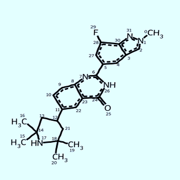 Cn1cc2cc(-c3nc4ccc(C5CC(C)(C)NC(C)(C)C5)cc4c(=O)[nH]3)cc(F)c2n1